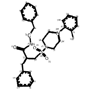 O=C(NOCc1ccccc1)C(Cc1ccccc1)CS(=O)(=O)N1CCN(c2ccccc2F)CC1